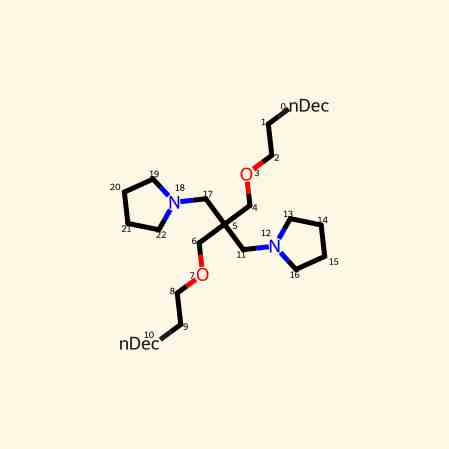 CCCCCCCCCCCCOCC(COCCCCCCCCCCCC)(CN1CCCC1)CN1CCCC1